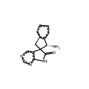 N[C@H]1c2ccccc2CC12C(=O)Nc1ncncc12